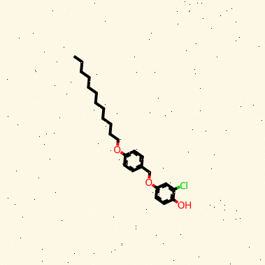 CCCCCCCCCCCCOc1ccc(COc2ccc(O)c(Cl)c2)cc1